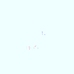 C[C@@H]1C[C@@H](O)CN(C)C1